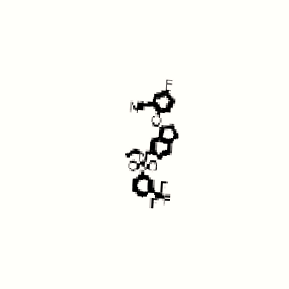 CCN(c1ccc2c(c1)C(Oc1ccc(F)cc1C#N)CC2)S(=O)(=O)c1cccc(C(F)(F)F)c1